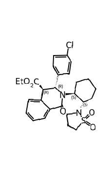 CCOC(=O)[C@@H]1c2ccccc2C(=O)N([C@H]2CCCC[C@@H]2N2CCCS2(=O)=O)[C@H]1c1ccc(Cl)cc1